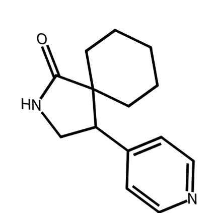 O=C1NCC(c2ccncc2)C12CCCCC2